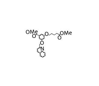 COC(=O)CCCCOc1cc(OCc2ccc3ccccc3n2)cc(C(=O)OC)c1